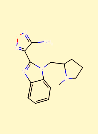 CCN1CCCC1Cn1c(-c2nonc2N)nc2ccccc21